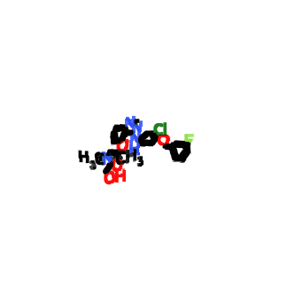 C[C@H](CN(C)C(=O)CO)Oc1cccc2ncnc(Nc3ccc(OCc4cccc(F)c4)c(Cl)c3)c12